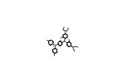 CCN(CC)c1ccc(C(c2ccc(N(c3ccc(C)cc3)c3ccc(C)cc3)cc2)c2ccc(N(CC)CC)cc2C)c(C)c1